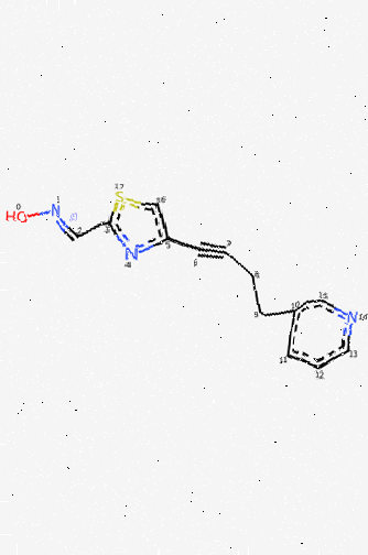 O/N=C/c1nc(C#CCCc2cccnc2)cs1